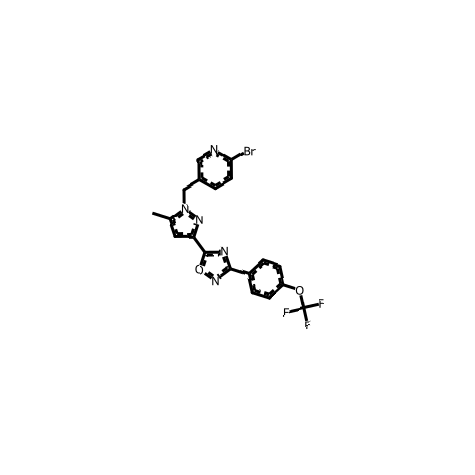 Cc1cc(-c2nc(-c3ccc(OC(F)(F)F)cc3)no2)nn1Cc1ccc(Br)nc1